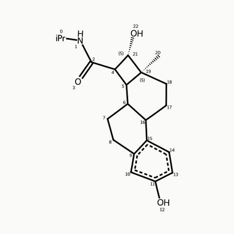 CC(C)NC(=O)C1C2C3CCc4cc(O)ccc4C3CC[C@]2(C)[C@H]1O